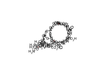 CC(C)[C@@H]1NC(=O)[C@H](Cc2c[nH]c3ccccc23)NC(=O)[C@H]2CSCC(=O)N3CCOCCN(CCOCCN(CCOCC3)C(=O)CSC[C@H](NC(=O)[C@H](C)NC(C)(C)C(=O)CN(C)C(C)(C)C(=O)CCN)C(=O)N[C@@H]([C@@H](C)O)C(=O)N[C@@H](CCC(=O)O)C(=O)N2)C(=O)CSC[C@@H](C(N)=O)NC(=O)[C@@H]2CCCN2C(=O)[C@H](C(C)C)NC(=O)[C@H](Cc2c[nH]c3ccccc23)NC(=O)CNC(=O)[C@H](CC(=O)O)NC1=O